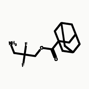 NCC(F)(F)COC(=O)C12CC3CC(CC(C3)C1)C2